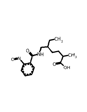 CCC(CCC(C)C(=O)O)CNC(=O)c1ccccc1N=O